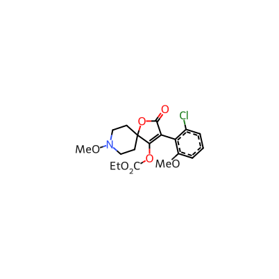 CCOC(=O)OC1=C(c2c(Cl)cccc2OC)C(=O)OC12CCN(OC)CC2